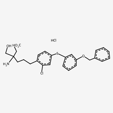 Cl.NC(CO)(CCCc1ccc(Sc2cccc(OCc3ccccc3)c2)cc1Cl)CC(=O)O